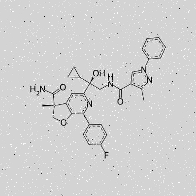 Cc1nn(-c2ccccc2)cc1C(=O)NC[C@](O)(c1cc2c(c(-c3ccc(F)cc3)n1)OC[C@]2(C)C(N)=O)C1CC1